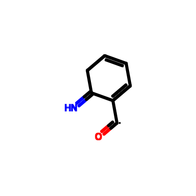 N=C1CC=CC=C1[C]=O